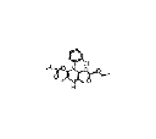 CCOC(=O)OC1=C(C)NC(C)=C(OC(=O)OC)N1c1ccccc1Cl